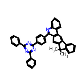 CC1(C)c2ccccc2-c2cc3c(cc21)c(-c1ccc(-c2nc(-c4ccccc4)nc(-c4ccccc4)n2)cc1)nc1ccccc13